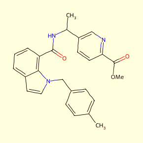 COC(=O)c1ccc(C(C)NC(=O)c2cccc3ccn(Cc4ccc(C)cc4)c23)cn1